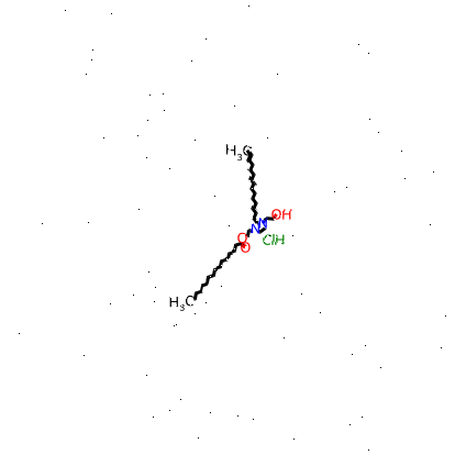 CCCCCCCCCCCCCCCC(=O)OCCN1CCN(CCO)C1CCCCCCCCCCCCCCC.Cl